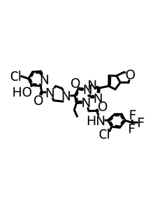 CCc1c(N2CCN(C(=O)c3nccc(Cl)c3O)CC2)c(=O)n2nc(C3=CC4COCC4C3)nc2n1CC(=O)Nc1ccc(C(F)(F)F)cc1Cl